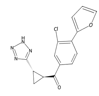 O=C(c1ccc(-c2ccco2)c(Cl)c1)[C@H]1C[C@@H]1c1nn[nH]n1